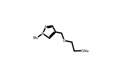 COCCOCc1cnn(C(C)(C)C)c1